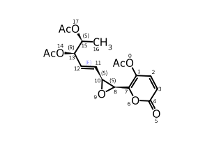 CC(=O)Oc1ccc(=O)oc1[C@H]1O[C@H]1/C=C/[C@@H](OC(C)=O)[C@H](C)OC(C)=O